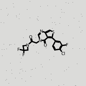 O=C(Cn1cnc2csc(-c3ccc(Cl)c(F)c3)c2c1=O)N1CC(F)(F)C1